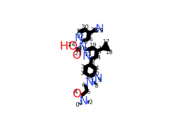 CN(C)C(=O)CCn1cnc2cc(-c3cc(C4CC4)cc(N(C(=O)O)c4cc(C#N)ccn4)n3)ccc21